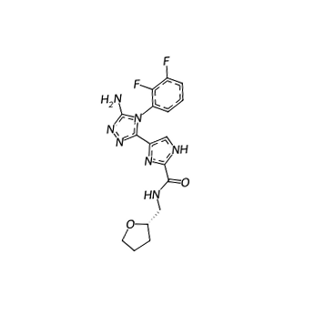 Nc1nnc(-c2c[nH]c(C(=O)NC[C@@H]3CCCO3)n2)n1-c1cccc(F)c1F